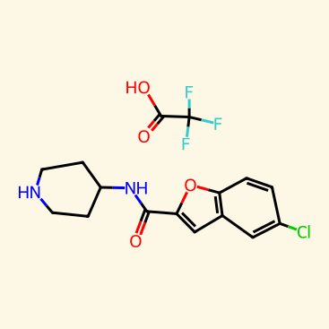 O=C(NC1CCNCC1)c1cc2cc(Cl)ccc2o1.O=C(O)C(F)(F)F